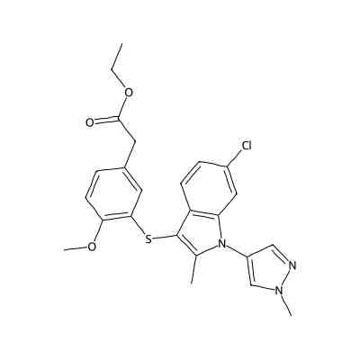 CCOC(=O)Cc1ccc(OC)c(Sc2c(C)n(-c3cnn(C)c3)c3cc(Cl)ccc23)c1